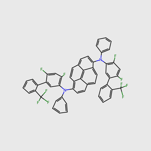 Fc1cc(F)c(N(c2ccccc2)c2ccc3ccc4c(N(c5ccccc5)c5cc(-c6ccccc6C(F)(F)F)c(F)cc5F)ccc5ccc2c3c54)cc1-c1ccccc1C(F)(F)F